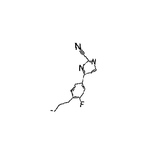 CCCCc1ccc(-c2ccnc(C#N)n2)cc1F